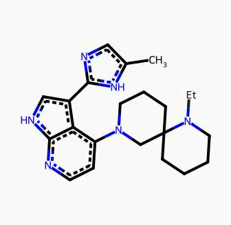 CCN1CCCCC12CCCN(c1ccnc3[nH]cc(-c4ncc(C)[nH]4)c13)C2